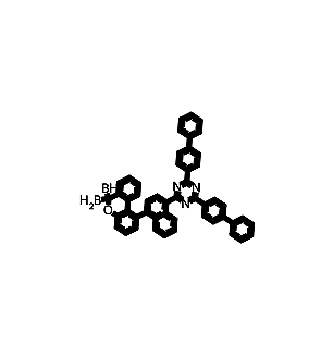 BC1(B)Oc2cccc(-c3ccc(-c4nc(-c5ccc(-c6ccccc6)cc5)nc(-c5ccc(-c6ccccc6)cc5)n4)c4ccccc34)c2-c2ccccc21